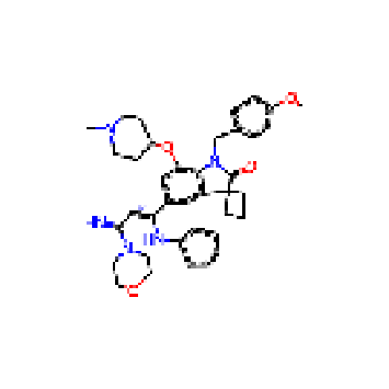 COc1ccc(CN2C(=O)C3(CCC3)c3cc(/C(=C/C(=N)N4CCOCC4)Nc4ccccc4)cc(OC4CCN(C)CC4)c32)cc1